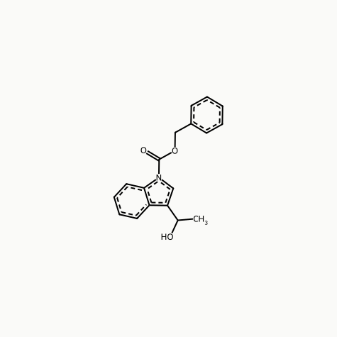 CC(O)c1cn(C(=O)OCc2ccccc2)c2ccccc12